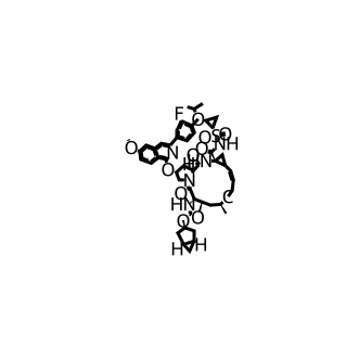 COc1ccc2c(O[C@@H]3C[C@H]4C(=O)N[C@]5(C(=O)NS(=O)(=O)C6CC6)CC5/C=C\CC[C@@H](C)C[C@@H](C)[C@H](NC(=O)O[C@@H]5C[C@@H]6C[C@@H]6C5)C(=O)N4C3)nc(-c3ccc(OC(C)C)c(F)c3)cc2c1